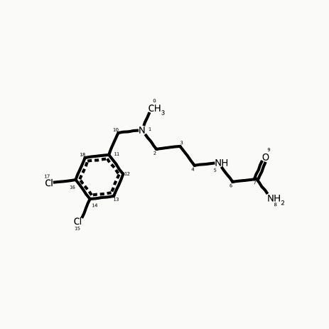 CN(CCCNCC(N)=O)Cc1ccc(Cl)c(Cl)c1